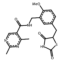 COc1ccc(CC2SC(=O)NC2=O)cc1CNC(=O)c1cnc(C)nc1C